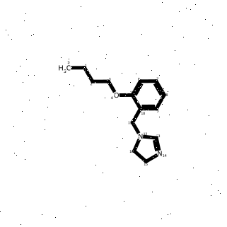 CCCCOc1ccccc1CN1C=NCC1